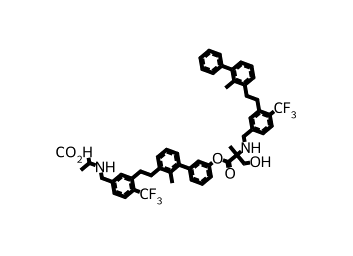 Cc1c(CCc2cc(CNC(C)C(=O)O)ccc2C(F)(F)F)cccc1-c1cccc(OC(=O)C(C)(CO)NCc2ccc(C(F)(F)F)c(CCc3cccc(-c4ccccc4)c3C)c2)c1